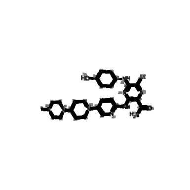 CCc1nc(C(N)=O)c(Nc2ccc(N3CCC(N4CCN(C)CC4)CC3)cn2)nc1N[C@H]1CC[C@H](O)CC1